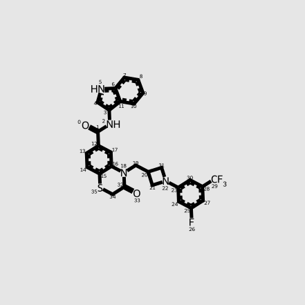 O=C(Nc1c[nH]c2ccccc12)c1ccc2c(c1)N(CC1CN(c3cc(F)cc(C(F)(F)F)c3)C1)C(=O)CS2